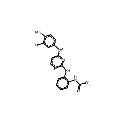 COc1ccc(Nc2ccnc(Nc3ccccc3NC(=O)C(F)(F)F)n2)cc1Cl